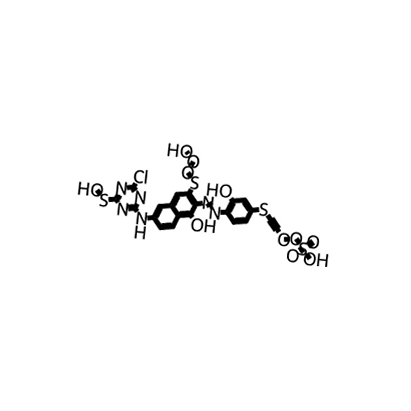 O=S(=O)(O)OOC#CSc1ccc(N=Nc2c(SOOO)cc3cc(Nc4nc(Cl)nc(SO)n4)ccc3c2O)c(O)c1